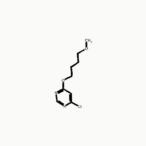 COCCCCOc1cc(Cl)ncn1